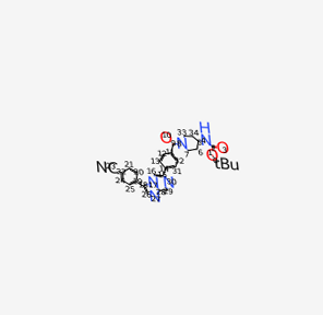 CC(C)(C)OC(=O)NC1CCN(C(=O)c2ccc(-c3cn4c(-c5ccc(C#N)cc5)cnc4cn3)cc2)CC1